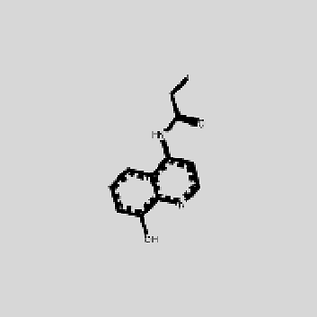 O=C(CI)Nc1ccnc2c(O)cccc12